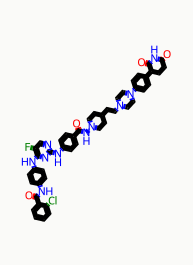 O=C1CCC(c2ccc(N3CCN(CCC4CCN(NC(=O)c5ccc(Nc6ncc(F)c(Nc7ccc(NC(=O)c8ccccc8Cl)cc7)n6)cc5)CC4)CC3)cc2)C(=O)N1